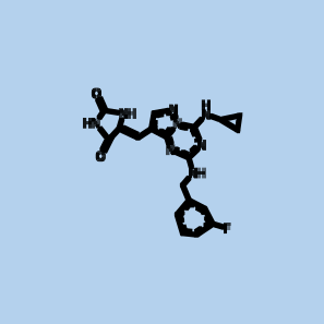 O=C1NC(=O)/C(=C/c2cnn3c(NC4CC4)nc(NCc4cccc(F)c4)nc23)N1